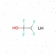 OC(F)(F)C(F)F.[LiH]